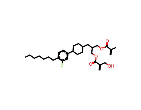 C=C(C)C(=O)OCC(COC(=O)C(=C)CO)CC1CCC(c2ccc(CCCCCCC)c(F)c2)CC1